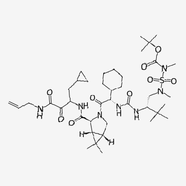 C=CCNC(=O)C(=O)C(CC1CC1)NC(=O)[C@@H]1[C@@H]2[C@H](CN1C(=O)[C@@H](NC(=O)N[C@H](CN(C)S(=O)(=O)N(C)C(=O)OC(C)(C)C)C(C)(C)C)C1CCCCC1)C2(C)C